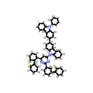 c1ccc(-n2c3ccccc3c3cc(-c4ccc5c(c4)c4ccccc4n5-c4cc(-c5cccc6sc7ccccc7c56)nc(-c5cccc6c5sc5ccccc56)n4)ccc32)cc1